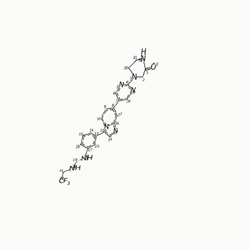 O=C1CN(c2ncc(-c3ccn4c(-c5cccc(NCNCC(F)(F)F)c5)cnc4c3)cn2)CCN1